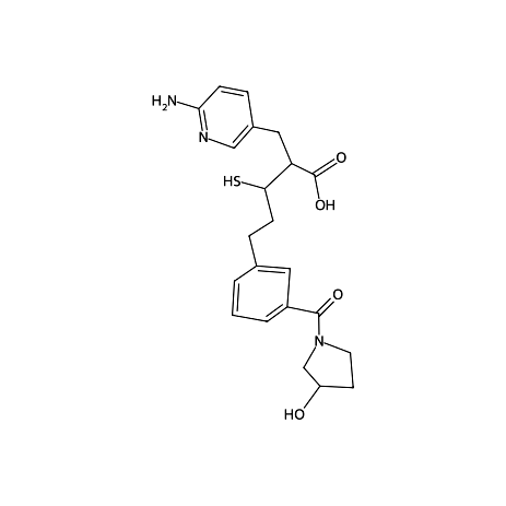 Nc1ccc(CC(C(=O)O)C(S)CCc2cccc(C(=O)N3CCC(O)C3)c2)cn1